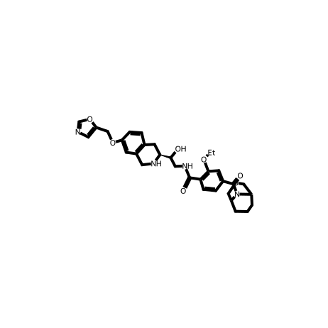 CCOc1cc(C(=O)N2C3CCCC2COC3)ccc1C(=O)NCC(O)[C@@H]1Cc2ccc(OCc3cnco3)cc2CN1